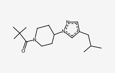 CC(C)Cc1cnn(C2CCN(C(=O)C(C)(C)C)CC2)c1